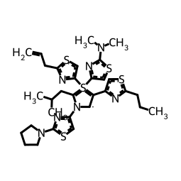 C=CCc1nc(S2(c3csc(N(C)C)n3)=C(c3csc(CCC)n3)[CH]N(c3csc(N4CCCC4)n3)C=2CC(C)C)cs1